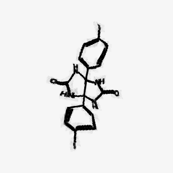 O=C1NC2(c3ccc(I)cc3)NC(=O)NC2(c2ccc(I)cc2)N1